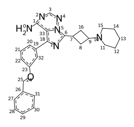 Nc1ncnn2c(C3CC(N4CCCCC4)C3)nc(-c3cccc(OCc4ccccc4)c3)c12